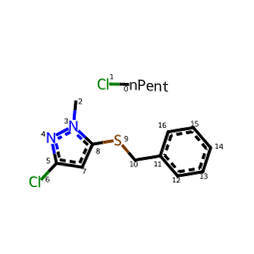 CCCCCCl.Cn1nc(Cl)cc1SCc1ccccc1